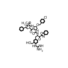 CS(=O)(=O)N[C@H](CCc1ccccc1)C(=O)N1C[C@H](OCc2ccc(Cl)cc2)C[C@H]1C(=O)NC(Cc1ccc(NC(=N)N)c(CO)c1)C(=O)c1nc2ccccc2o1